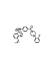 C=Nc1c(/C=C\C)cccc1S(=O)(=O)Nc1ccc(C(=O)N2CCN(c3ccccc3F)CC2)cc1